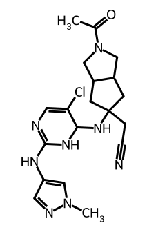 CC(=O)N1CC2CC(CC#N)(NC3NC(Nc4cnn(C)c4)=NC=C3Cl)CC2C1